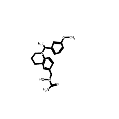 COc1cccc(C(C)N2CCCc3cc(CN(O)C(N)=O)ccc32)c1